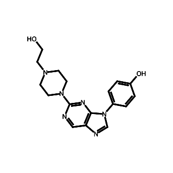 OCCN1CCN(c2ncc3ncn(-c4ccc(O)cc4)c3n2)CC1